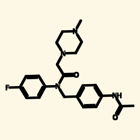 CC(=O)Nc1ccc(CN(C(=O)CN2CCN(C)CC2)c2ccc(F)cc2)cc1